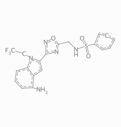 Nc1cccc2c1cc(-c1noc(CNS(=O)(=O)c3ccccc3)n1)n2CC(F)(F)F